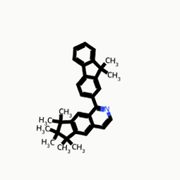 CC1(C)c2ccccc2-c2ccc(-c3nccc4cc5c(cc34)C(C)(C)C(C)(C)C5(C)C)cc21